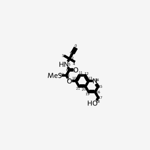 C#CC(C)(C)NC(=O)C(Oc1ccc2ncc(CO)cc2c1)SC